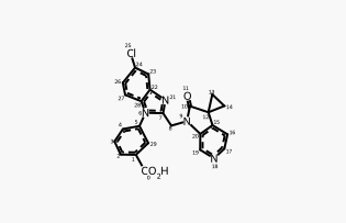 O=C(O)c1cccc(-n2c(CN3C(=O)C4(CC4)c4ccncc43)nc3cc(Cl)ccc32)c1